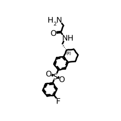 NCC(=O)NC[C@@H]1CCCc2cc(S(=O)(=O)c3cccc(F)c3)ccc21